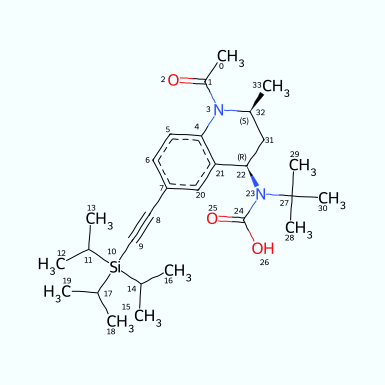 CC(=O)N1c2ccc(C#C[Si](C(C)C)(C(C)C)C(C)C)cc2[C@H](N(C(=O)O)C(C)(C)C)C[C@@H]1C